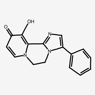 O=c1ccn2c(c1O)-c1ncc(-c3ccccc3)n1CC2